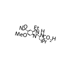 CCc1nc(C(CC(C)C)NC(=O)O)nc2cc(OC)c(-c3cnco3)cc12